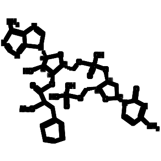 COC(Cc1ccccc1)C(=O)O[C@H]1[C@@H](O)[C@H](n2cnc3c(N)ncnc32)O[C@@H]1COP(=O)(O)O[C@H]1C[C@H](n2ccc(N)nc2=O)O[C@@H]1COP(=O)(O)O